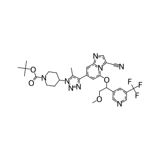 COCC(Oc1cc(-c2nnn(C3CCN(C(=O)OC(C)(C)C)CC3)c2C)cc2ncc(C#N)n12)c1cncc(C(F)(F)F)c1